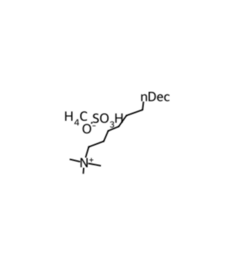 C.CCCCCCCCCCCCCCCC[N+](C)(C)C.O=S(=O)([O-])O